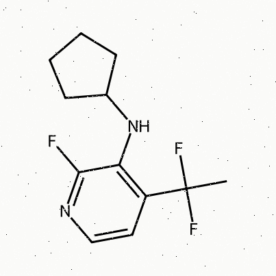 CC(F)(F)c1ccnc(F)c1NC1CCCC1